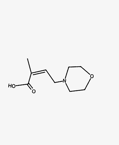 CC(=CCN1CCOCC1)C(=O)O